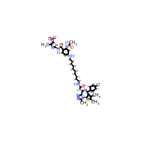 CC(=O)Nc1cc(NCCCCCCCCCCNC(=O)C[C@@H]2N=C(c3ccc(Cl)cc3)c3c(sc(C)c3C)-n3c(C)nnc32)ccc1C(=O)Nc1nc(C)c([N+](=O)[O-])s1